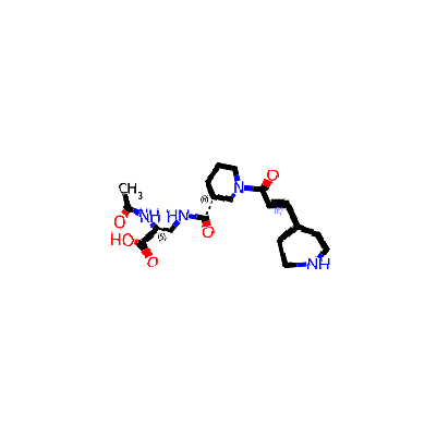 CC(=O)N[C@@H](CNC(=O)[C@@H]1CCCN(C(=O)/C=C/C2CCNCC2)C1)C(=O)O